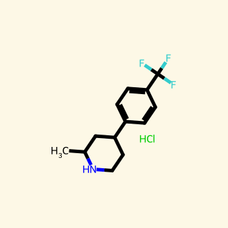 CC1CC(c2ccc(C(F)(F)F)cc2)CCN1.Cl